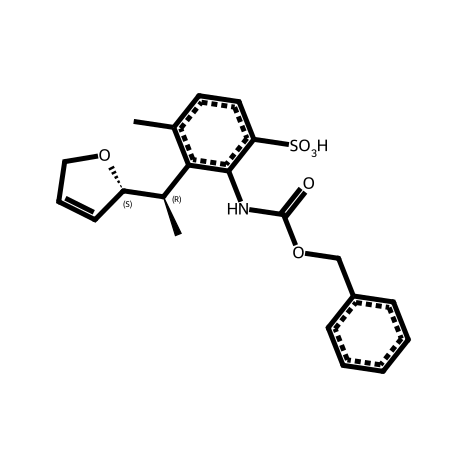 Cc1ccc(S(=O)(=O)O)c(NC(=O)OCc2ccccc2)c1[C@@H](C)[C@@H]1C=CCO1